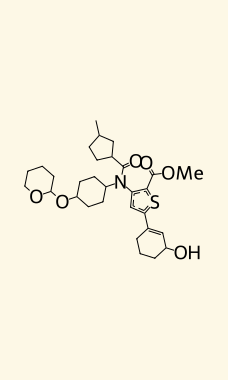 COC(=O)c1sc(C2=CC(O)CCC2)cc1N(C(=O)C1CCC(C)C1)C1CCC(OC2CCCCO2)CC1